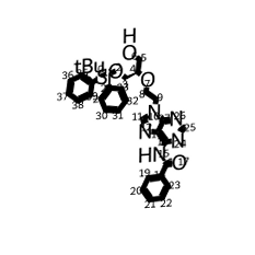 CC(C)(C)[Si](OC[C@@H](CO)OCCn1cnc2c(NC(=O)c3ccccc3)ncnc21)(c1ccccc1)c1ccccc1